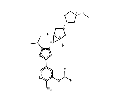 CO[C@H]1CCN([C@@H]2C[C@@H]3[C@H](C2)[C@H]3c2cc(-c3cnc(N)c(OC(F)F)c3)nn2C(C)C)C1